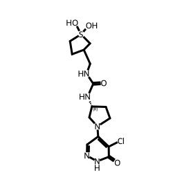 O=C(NCC1CCS(O)(O)C1)N[C@@H]1CCN(c2cn[nH]c(=O)c2Cl)C1